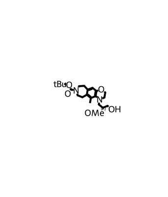 CO[C@@H](CO)CN1CCOc2cc3c(c(C)c21)CCN(C(=O)OC(C)(C)C)CC3